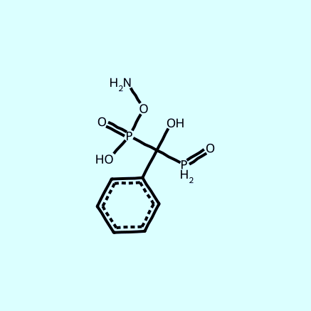 NOP(=O)(O)C(O)([PH2]=O)c1ccccc1